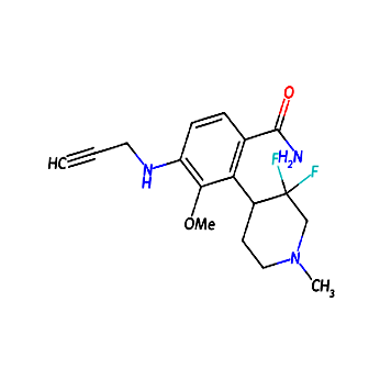 C#CCNc1ccc(C(N)=O)c(C2CCN(C)CC2(F)F)c1OC